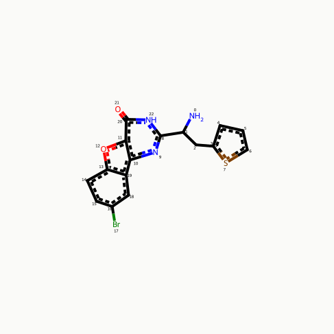 NC(Cc1cccs1)c1nc2c(oc3ccc(Br)cc32)c(=O)[nH]1